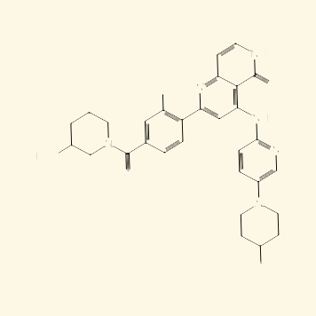 CC1CCCN(C(=O)c2ccc(-c3cc(Nc4ccc(N5CCC(O)CC5)cn4)c4c(=O)[nH]ccc4n3)c(F)c2)C1